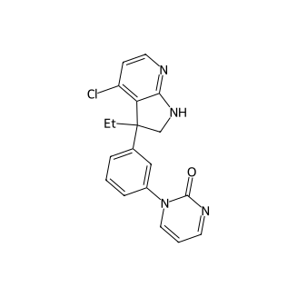 CCC1(c2cccc(-n3cccnc3=O)c2)CNc2nccc(Cl)c21